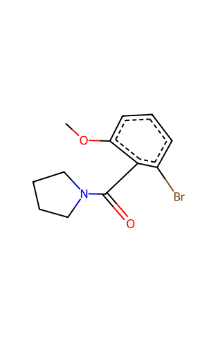 COc1cccc(Br)c1C(=O)N1CCCC1